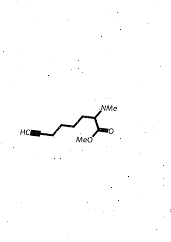 C#CCCCCC(NC)C(=O)OC